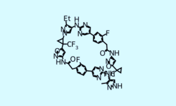 CCc1nn(C2CC2(c2cc(NC(=O)Cc3ccc(-c4cnc(Nc5c[nH]nc5C)nc4)cc3F)no2)C(F)(F)F)cc1Nc1ncc(-c2ccc(CC(=O)Nc3cc(C4(C(F)(F)F)CC4)on3)c(F)c2)cn1